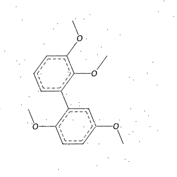 COc1ccc(OC)c(-c2[c]ccc(OC)c2OC)c1